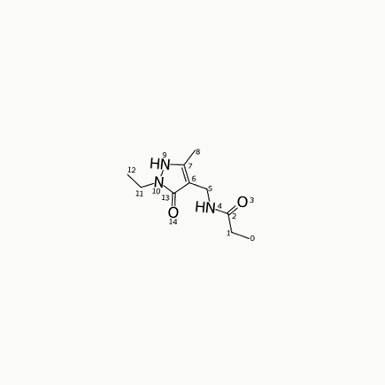 CCC(=O)NCc1c(C)[nH]n(CC)c1=O